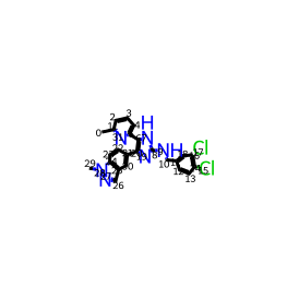 Cc1cccc(-c2[nH]c(NCc3ccc(Cl)c(Cl)c3)nc2-c2ccc3c(cnn3C)c2)n1